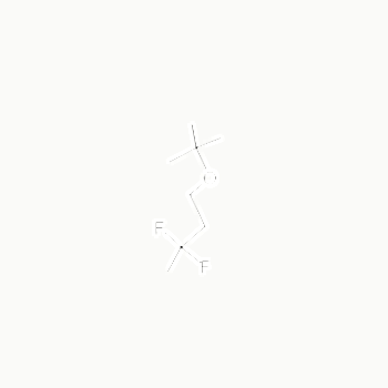 CC(F)(F)CCOC(C)(C)C